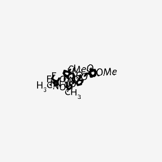 COc1ccc(COC(=O)[C@@]2(C)CCC[C@H]2C(=O)N2CCc3c(Cl)ccc(OCc4nnn(C)c4C(F)F)c3[C@H]2CN2CC[C@@H](C)C2=O)c(OC)c1